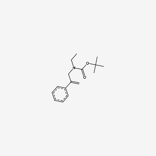 C=C(CN(CC)C(=O)OC(C)(C)C)c1ccccc1